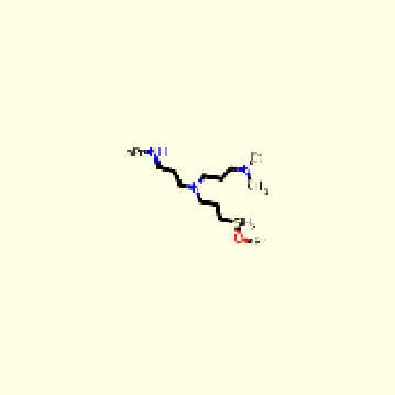 CCCNCCCN(CCC[SiH2]OC(C)C)CCCN(C)CC